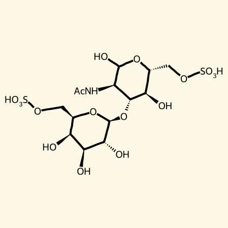 CC(=O)N[C@H]1C(O)O[C@H](COS(=O)(=O)O)[C@@H](O)[C@@H]1O[C@@H]1O[C@H](COS(=O)(=O)O)[C@H](O)[C@H](O)[C@H]1O